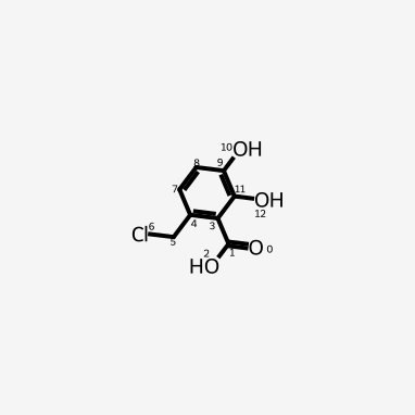 O=C(O)c1c(CCl)ccc(O)c1O